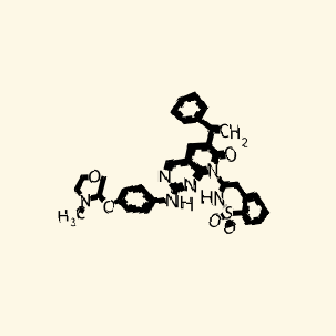 C=C(c1ccccc1)c1cc2cnc(Nc3ccc(OC4COCCN4C)cc3)nc2n(C2Cc3ccccc3S(=O)(=O)N2)c1=O